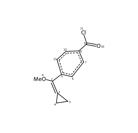 COC(=C1CC1)c1ccc(C(=O)Cl)cc1